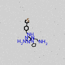 NCCc1nc2c(NCc3ccc(-c4ccsc4)cc3)nc(N)nc2n1C1CCCC1